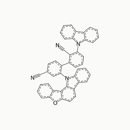 N#Cc1ccc(-c2cccc(-n3c4ccccc4c4ccccc43)c2C#N)c(-n2c3ccccc3c3ccc4oc5ccccc5c4c32)c1